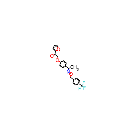 C/C(=N\OCc1ccc(C(F)(F)F)cc1)c1ccc(OCC(=O)c2ccco2)cc1